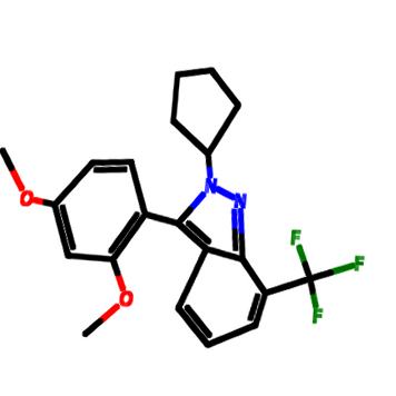 COc1ccc(-c2c3cccc(C(F)(F)F)c3nn2C2CCCC2)c(OC)c1